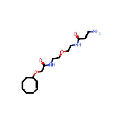 NCCC(=O)NCCOCCNC(=O)COC1/C=C\CCCCC1